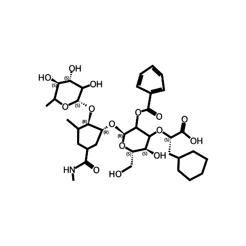 CNC(=O)C1CC(C)[C@@H](O[C@@H]2OC(C)[C@@H](O)[C@H](O)C2O)[C@H](O[C@@H]2O[C@@H](CO)[C@H](O)C(O[C@@H](CC3CCCCC3)C(=O)O)C2OC(=O)c2ccccc2)C1